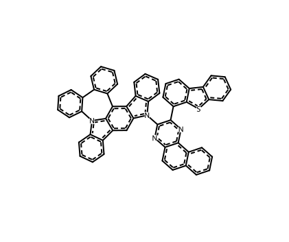 c1ccc2c(c1)-c1ccccc1-n1c3ccccc3c3cc4c(c-2c31)c1ccccc1n4-c1nc2ccc3ccccc3c2nc1-c1cccc2c1sc1ccccc12